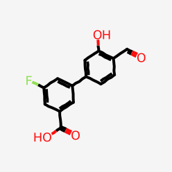 O=Cc1ccc(-c2cc(F)cc(C(=O)O)c2)cc1O